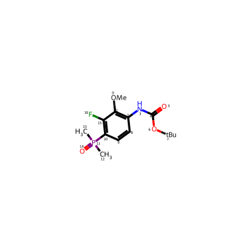 COc1c(NC(=O)OC(C)(C)C)ccc(P(C)(C)=O)c1F